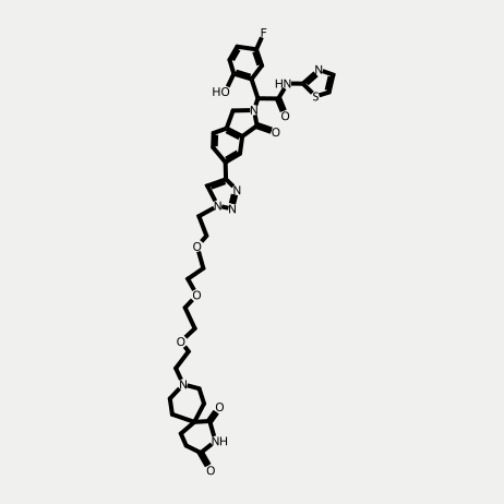 O=C1CCC2(CCN(CCOCCOCCOCCn3cc(-c4ccc5c(c4)C(=O)N(C(C(=O)Nc4nccs4)c4cc(F)ccc4O)C5)nn3)CC2)C(=O)N1